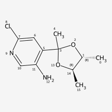 C[C@H]1OC(C)(c2cc(Cl)ncc2N)O[C@@H]1C